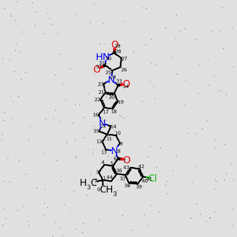 CC1(C)CCC(C(=O)N2CCC3(CC2)CN(Cc2ccc4c(c2)CN(C2CCC(=O)NC2=O)C4=O)C3)=C(c2ccc(Cl)cc2)C1